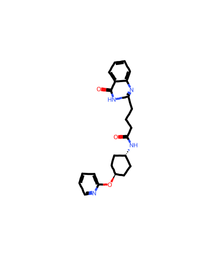 O=C(CCCc1nc2ccccc2c(=O)[nH]1)N[C@H]1CC[C@H](Oc2ccccn2)CC1